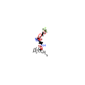 CC(C)(C)OC(=O)NC12CC(c3nnc(OCCOC(F)(F)F)o3)(C1)C2